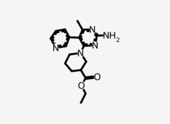 CCOC(=O)C1CCCN(c2nc(N)nc(C)c2-c2cccnc2)C1